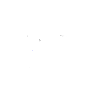 CCOC(=O)c1c(N/C=C/C(C)=O)sc(-c2ccccc2)c1C